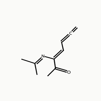 C=C=C/C=C(\N=C(C)C)C(C)=O